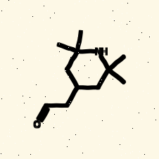 CC1(C)CC(CC=O)CC(C)(C)N1